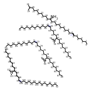 CCCCCC/C=C/CCCCCCCCCC(N)CCCCCCCCC(C)C.CCCCCCCCCCC/C=C\CCCCC(CCCCCCCCC)N(C)C.CCCCCCCCCCC/C=C\CCCCCCC(CCCCCCCCC)N(C)C.CCCCCCCCCCCCCC/C=C\CCCC(CCCCCCCCC)N(C)C